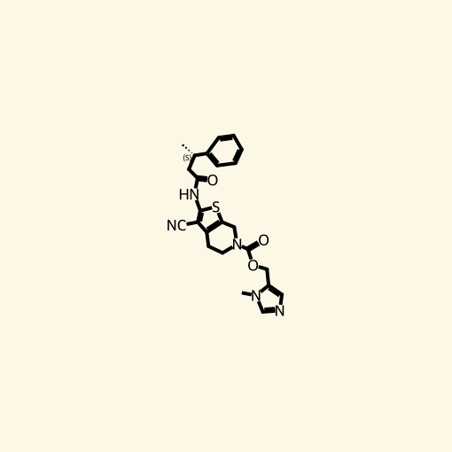 C[C@@H](CC(=O)Nc1sc2c(c1C#N)CCN(C(=O)OCc1cncn1C)C2)c1ccccc1